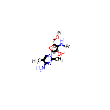 C=C1N=C(N)C(C)=CN1[C@@H]1O[C@H](COC(C)C)C(NC(C)C)[C@@H]1O